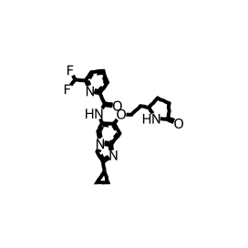 O=C1CCC(CCOc2cc3nc(C4CC4)cn3cc2NC(=O)c2cccc(C(F)F)n2)N1